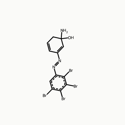 NC1(O)C=C(N=Nc2cc(Br)c(Br)c(Br)c2Br)C=CC1